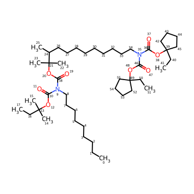 CCCCCCCCCN(C(=O)OC(C)(C)CC)C(=O)OC(C)(C)C(C)CCCCCCCCCN(C(=O)OC1(CC)CCCC1)C(=O)OC1(CC)CCCC1